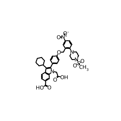 CS(=O)(=O)N1CCN(c2ccc([N+](=O)[O-])cc2COc2ccc(-c3c(C4CCCCC4)c4ccc(C(=O)O)cc4n3CC(=O)O)cc2)CC1